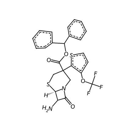 NC1C(=O)N2CC(C(=O)OC(c3ccccc3)c3ccccc3)(c3sccc3OC(F)(F)F)CS[C@H]12